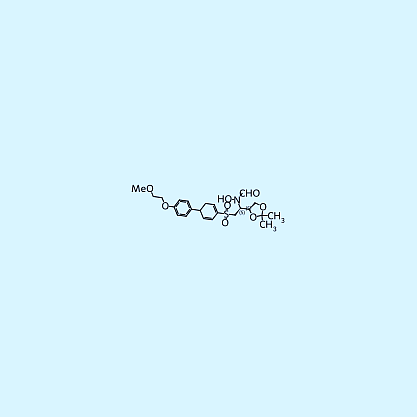 COCCOc1ccc(C2C=CC(S(=O)(=O)C[C@H]([C@H]3COC(C)(C)O3)N(O)C=O)=CC2)cc1